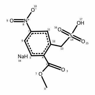 COC(=O)c1ccc([N+](=O)[O-])cc1CS(=O)(=O)O.[NaH]